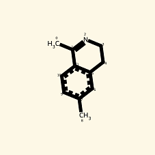 CC1=NCCc2cc(C)ccc21